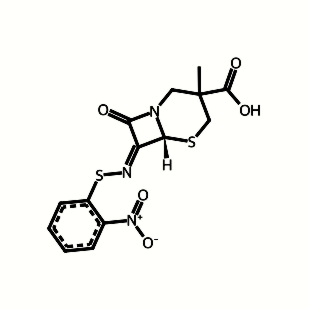 CC1(C(=O)O)CS[C@@H]2C(=NSc3ccccc3[N+](=O)[O-])C(=O)N2C1